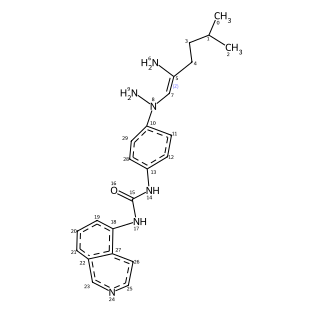 CC(C)CC/C(N)=C/N(N)c1ccc(NC(=O)Nc2cccc3cnccc23)cc1